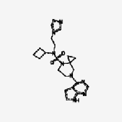 O=S(=O)(N(CCn1ccnc1)C1CCC1)N1CCN(c2ncnc3[nH]ccc23)CC12CC2